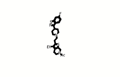 CCc1c(CCN2CCC(c3nsc4cc(F)ccc34)CC2)sc2c1CCN(C(C)=O)C2